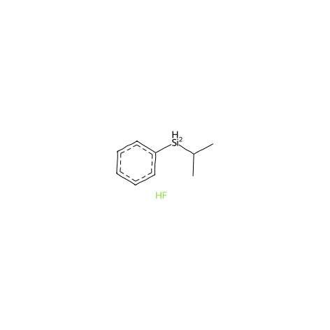 CC(C)[SiH2]c1ccccc1.F